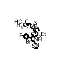 CCOC(=O)C1=C(CN2CCN3C(=S)N(CC(C)(C)C(=O)O)CC3C2)NC(c2nccs2)=CC1c1ccc(F)cc1Br